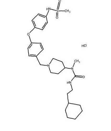 CN(C(=O)NCCC1CCCCC1)C1CCN(Cc2ccc(Oc3ccc(NS(C)(=O)=O)cc3)cc2)CC1.Cl